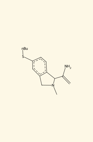 C=C(N)C1c2ccc(SCCCC)cc2CN1C